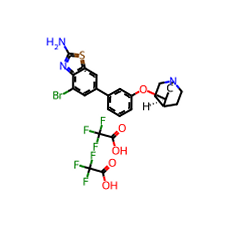 Nc1nc2c(Br)cc(-c3cccc(O[C@H]4CN5CCC4CC5)c3)cc2s1.O=C(O)C(F)(F)F.O=C(O)C(F)(F)F